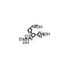 CCNC(=O)Nc1nc2cc(-c3cnc(C(C)(C)O)nc3)cc(-c3cc(CN4CC(C)(O)C4)ccn3)c2s1